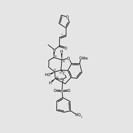 COc1ccc2c3c1O[C@H]1[C@H](N(C)C(=O)/C=C/c4ccoc4)CC[C@@]4(O)[C@@H](C2)N(S(=O)(=O)c2cccc([N+](=O)[O-])c2)CC[C@]314